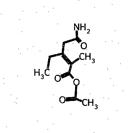 CCC(CC(N)=O)=C(C)C(=O)OC(C)=O